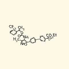 CCOC(=O)C1(c2ccc(-c3ccc(-c4onc(C)c4NC(=O)O[C@H](C)c4ccccc4C(F)(F)F)cc3)cc2)CC1